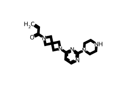 C=CC(=O)N1CC2(C1)CN(c1ccnc(N3CCNCC3)n1)C2